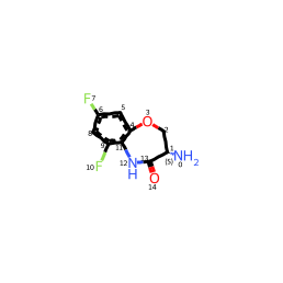 N[C@H]1COc2cc(F)cc(F)c2NC1=O